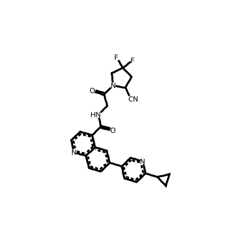 N#CC1CC(F)(F)CN1C(=O)CNC(=O)c1ccnc2ccc(-c3ccc(C4CC4)nc3)cc12